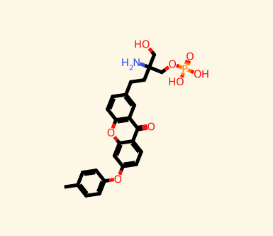 Cc1ccc(Oc2ccc3c(=O)c4cc(CCC(N)(CO)COP(=O)(O)O)ccc4oc3c2)cc1